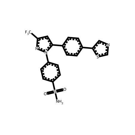 NS(=O)(=O)c1ccc(-n2nc(C(F)(F)F)cc2-c2ccc(-c3cncs3)cc2)cc1